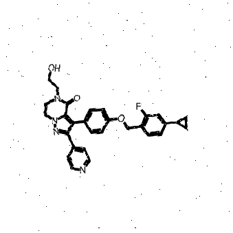 O=C1c2c(-c3ccc(OCc4ccc(C5CC5)cc4F)cc3)c(-c3ccncc3)nn2CCN1CCO